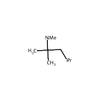 CNC(C)(C)CC(C)C